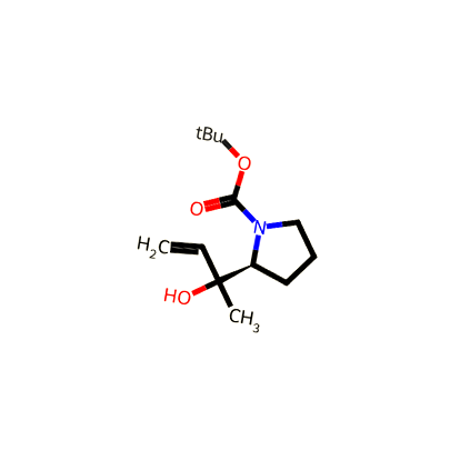 C=CC(C)(O)[C@@H]1CCCN1C(=O)OC(C)(C)C